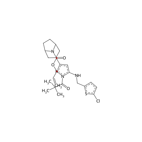 C=CCOC(=O)N1C2CCC1CC(c1cc(NCc3ccc(Cl)s3)n(C(=O)C(C)(C)C)n1)C2